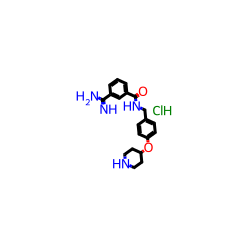 Cl.N=C(N)c1cccc(C(=O)NCc2ccc(OC3CCNCC3)cc2)c1